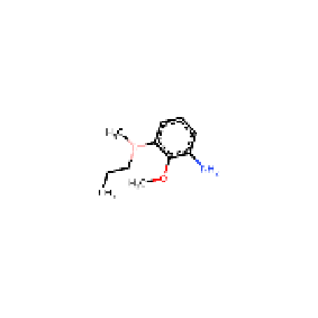 CCCB(C)c1cccc(N)c1OC